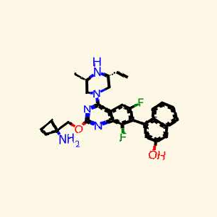 CC[C@@H]1CN(c2nc(OCC3(N)CCC3)nc3c(F)c(-c4cc(O)cc5ccccc45)c(F)cc23)C[C@@H](C)N1